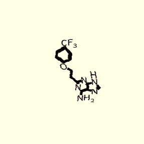 Nc1nc(CCOc2ccc(C(F)(F)F)cc2)nc2[nH]cnc12